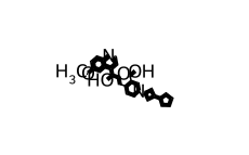 COc1ccc2nccc(C(O)CC[C@@H]3CCN(C4CC(C5CCCC5)C4)C[C@@H]3C(=O)O)c2c1